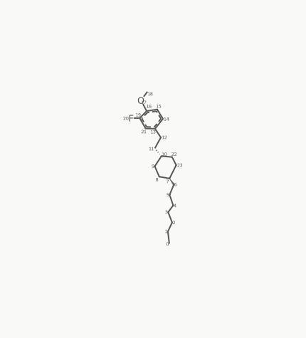 CCCCCCC[C@H]1CC[C@H](CCc2ccc(OC)c(F)c2)CC1